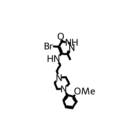 COc1ccccc1N1CCN(CCNc2c(C)n[nH]c(=O)c2Br)CC1